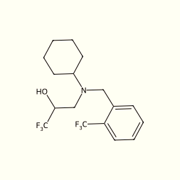 OC(CN(Cc1ccccc1C(F)(F)F)C1CCCCC1)C(F)(F)F